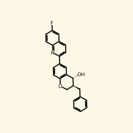 O[C@H]1c2cc(-c3ccc4cc(F)ccc4n3)ccc2OC[C@@H]1Cc1ccccc1